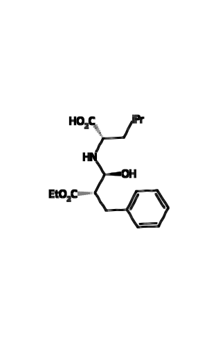 CCOC(=O)[C@@H](Cc1ccccc1)[C@H](O)N[C@@H](CC(C)C)C(=O)O